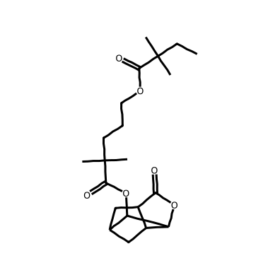 CCC(C)(C)C(=O)OCCCC(C)(C)C(=O)OC1C2CC3C(=O)OC1C3C2